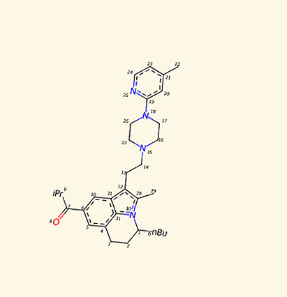 CCCCC1CCc2cc(C(=O)C(C)C)cc3c(CCN4CCN(c5cc(C)ccn5)CC4)c(C)n1c23